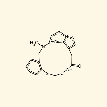 CN1Cc2ccccc2SCCNC(=O)Cc2cnn3ccc1nc23